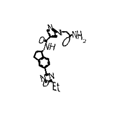 CCc1nc(-c2ccc3c(c2)CCC3NC(=O)c2cnn(CC(N)=O)c2)no1